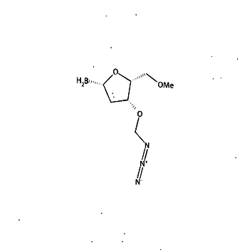 B[C@H]1C[C@@H](OCN=[N+]=[N-])[C@@H](COC)O1